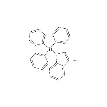 CC1=C[CH]([Ti]([c]2ccccc2)([c]2ccccc2)[c]2ccccc2)c2ccccc21